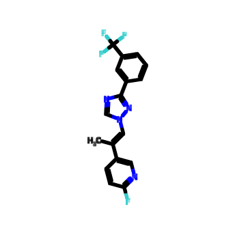 C/C(=C\n1cnc(-c2cccc(C(F)(F)F)c2)n1)c1ccc(F)nc1